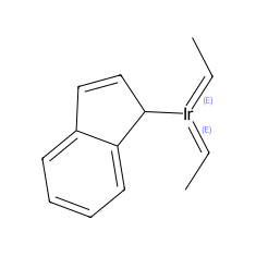 C/[CH]=[Ir](=[CH]\C)\[CH]1C=Cc2ccccc21